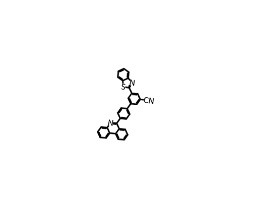 N#Cc1cc(-c2ccc(-c3nc4ccccc4c4ccccc34)cc2)cc(-c2nc3ccccc3s2)c1